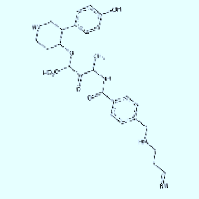 CC(NC(=O)c1ccc(CNCCC=N)cc1)C(=O)C(OC1CCNCC1c1ccc(O)cc1)C(=O)O